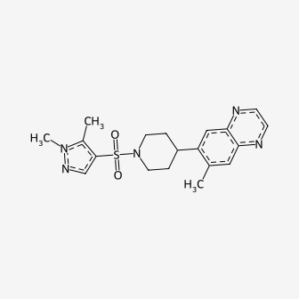 Cc1cc2nccnc2cc1C1CCN(S(=O)(=O)c2cnn(C)c2C)CC1